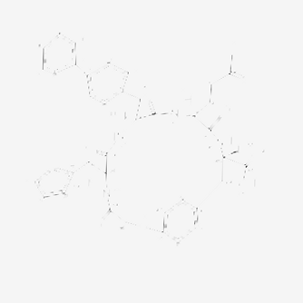 O=C(O)CC[C@@H]1NC(=O)[C@H](Cc2ccc(-c3ccccc3)cc2)NC(=O)[C@H](Cc2cccs2)NC(=O)COc2ccc(cc2)C[C@@H](C(=O)O)NC1=O